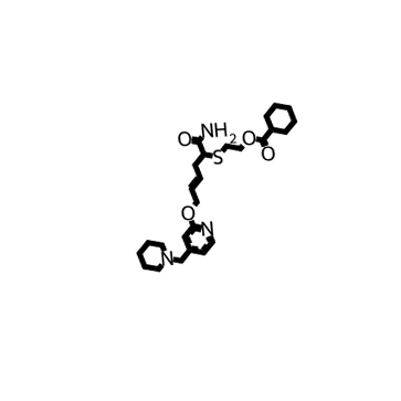 NC(=O)C(CC=CCOc1cc(CN2CCCCC2)ccn1)SCCOC(=O)C1CCCCC1